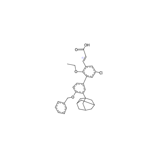 CCOc1c(/C=C/C(=O)O)cc(Cl)cc1-c1ccc(OCc2ccccc2)c(C23CC4CC(CC(C4)C2)C3)c1